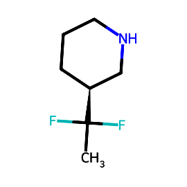 CC(F)(F)[C@H]1CCCNC1